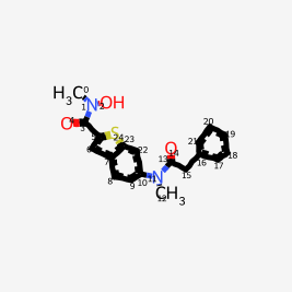 CN(O)C(=O)c1cc2ccc(N(C)C(=O)Cc3ccccc3)cc2s1